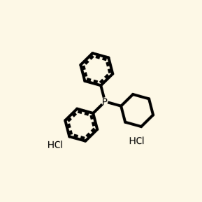 Cl.Cl.c1ccc(P(c2ccccc2)C2CCCCC2)cc1